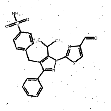 CC(C)c1c(Cc2ccc(S(N)(=O)=O)cc2)c(-c2ccccc2)nn1-c1nc(C=O)cs1